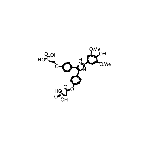 COc1cc(-c2nc(-c3ccc(OC(=O)CP(=O)(O)O)cc3)c(-c3ccc(OCCP(=O)(O)O)cc3)[nH]2)cc(OC)c1O